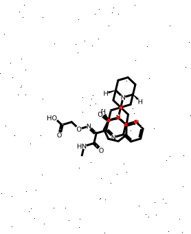 CNC(=O)/C(=N\OCC(=O)O)c1nc2ccccc2n(C2C[C@H]3CCC[C@@H](C2)N3C2C[C@H]3CCCC[C@@H](C2)C3)c1=O